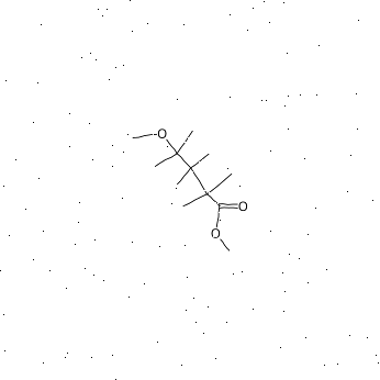 COC(=O)C(C)(C)C(C)(C)C(C)(C)OC